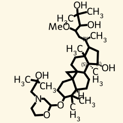 COC(C[C@@H](C)C1C[C@H](O)[C@@]2(C)C3CC[C@H]4C(C)(C)C(OC5CN(CC(C)(C)O)CCO5)CCC45CC35CCC12C)C(O)C(C)(C)O